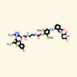 COc1cc(/N=N/c2cccc3c2CN(C2CCC(=O)NC2=O)C3=O)cc(OC)c1OCC(=O)NCCCNC(=O)C[C@@H]1N=C(c2ccc(Cl)cc2)c2c(sc(C)c2C)-n2c(C)nnc21